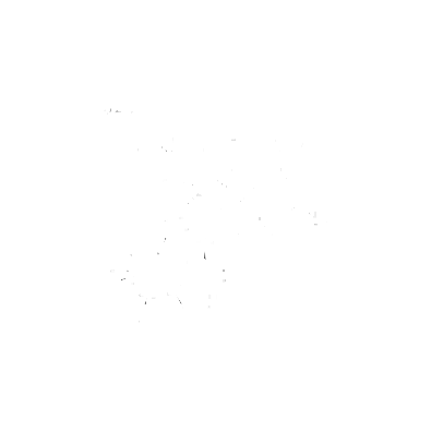 COC(C)CN1CCC(N(C(=O)c2cc(Cl)c(N)c3c2OCC3)C2(CO)O[C@@H](CO)[C@H](O[C@H]3O[C@@H](CO)[C@@H](O)[C@@H](O)[C@@H]3O)[C@H]2O)CC1